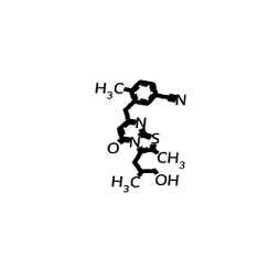 Cc1ccc(C#N)cc1Cc1cc(=O)n2c(CC(C)CO)c(C)sc2n1